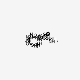 CC(=O)N[C@H]1CCCCn2cc(nn2)C[C@H](C(=O)N[C@H](CCCNC(=N)N)C(=O)c2nc3ccccc3s2)NC(=O)[C@H](CC(C)C)NC1=O